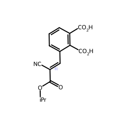 CC(C)OC(=O)/C(C#N)=C/c1cccc(C(=O)O)c1C(=O)O